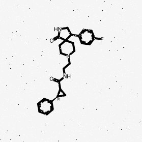 O=C(NCCN1CCC2(CC1)C(=O)NCC2c1ccc(F)cc1)C1C[C@H]1c1ccccc1